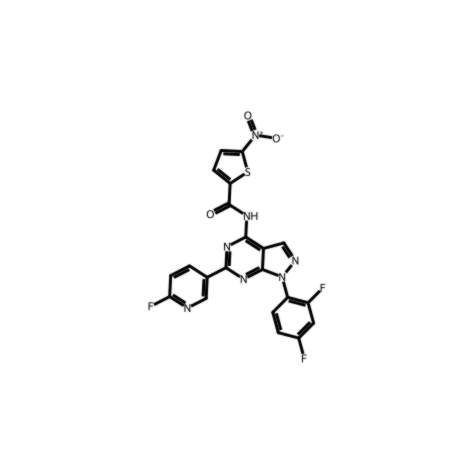 O=C(Nc1nc(-c2ccc(F)nc2)nc2c1cnn2-c1ccc(F)cc1F)c1ccc([N+](=O)[O-])s1